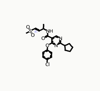 CC(/C=C/S(C)(=O)=O)NC(=O)c1cnc(C2CCCC2)nc1Oc1ccc(Cl)cc1